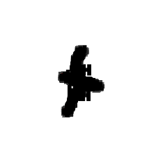 O=C(COc1ccc(OCc2ccccc2)cc1)NCCNCC(COC1COC(Cc2ccccc2)CO1)OC(=O)C(=O)OC(CNCCNC(=O)COc1ccc(OCc2ccccc2)cc1)COC1COC(Cc2ccccc2)CO1